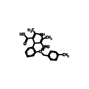 CC1=C(C(=O)O)C(c2ccccc2OCc2ccc(C)cc2)C([N+](=O)[O-])=C(C)N1